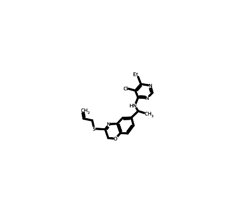 C=CCSC1=Nc2cc(C(C)Nc3ncnc(CC)c3Cl)ccc2OC1